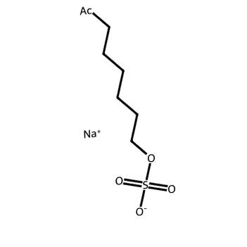 CC(=O)CCCCCCOS(=O)(=O)[O-].[Na+]